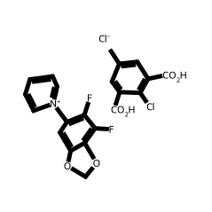 Cc1cc(C(=O)O)c(Cl)c(C(=O)O)c1.Fc1c(-[n+]2ccccc2)cc2c(c1F)OCO2.[Cl-]